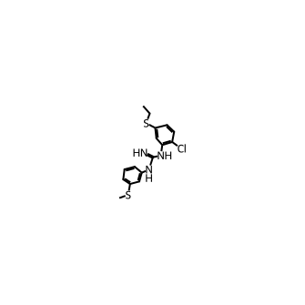 CCSc1ccc(Cl)c(NC(=N)Nc2cccc(SC)c2)c1